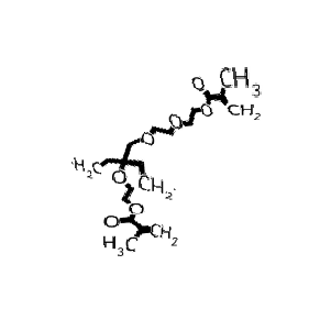 [CH2]CC(C[CH2])(COCCOCCOC(=O)C(=C)C)OCCOC(=O)C(=C)C